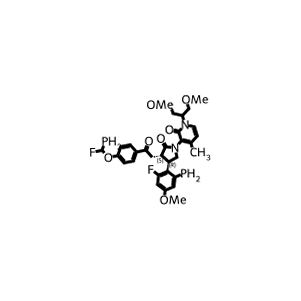 COCC(COC)n1ccc(C)c(N2C[C@@H](c3c(F)cc(OC)cc3P)[C@H](CC(=O)c3ccc(OC(F)P)cc3)C2=O)c1=O